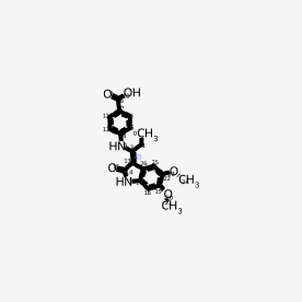 CC/C(Nc1ccc(C(=O)O)cc1)=C1/C(=O)Nc2cc(OC)c(OC)cc21